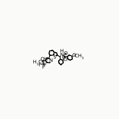 COc1cccc(S(=O)(=O)NC(c2cc3cccc(-c4cc([C@@](C)(O)C(F)(F)F)ccn4)c3s2)c2ccccc2Cl)c1